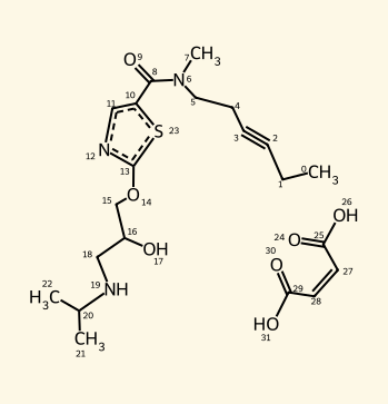 CCC#CCCN(C)C(=O)c1cnc(OCC(O)CNC(C)C)s1.O=C(O)/C=C\C(=O)O